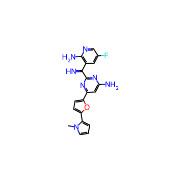 Cn1cccc1-c1ccc(-c2cc(N)nc(C(=N)c3cc(F)cnc3N)n2)o1